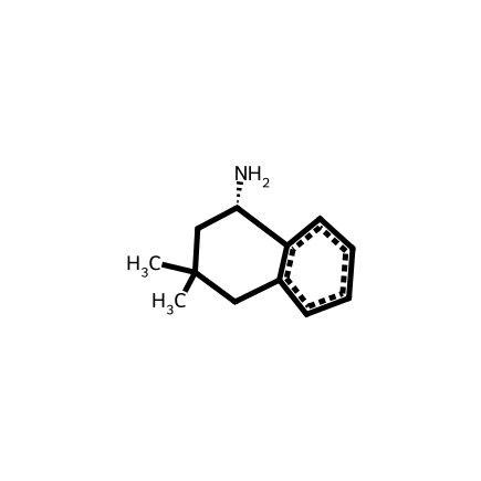 CC1(C)Cc2ccccc2[C@@H](N)C1